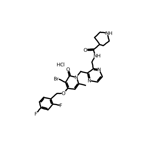 Cc1cc(OCc2ccc(F)cc2F)c(Br)c(=O)n1Cc1nccnc1CNC(=O)C1CCNCC1.Cl